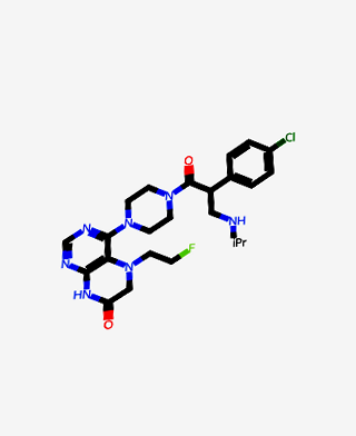 CC(C)NCC(C(=O)N1CCN(c2ncnc3c2N(CCF)CC(=O)N3)CC1)c1ccc(Cl)cc1